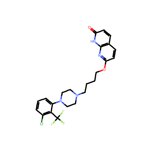 O=c1ccc2ccc(OCCCCN3CCN(c4cccc(Cl)c4C(F)(F)F)CC3)nc2[nH]1